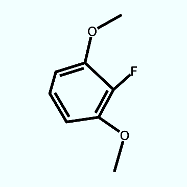 COc1cccc(OC)c1F